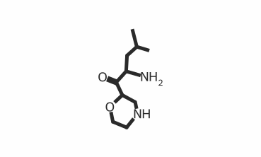 CC(C)CC(N)C(=O)C1CNCCO1